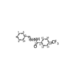 O=C(NN=Cc1ccccc1)c1ccc(C(F)(F)F)cc1